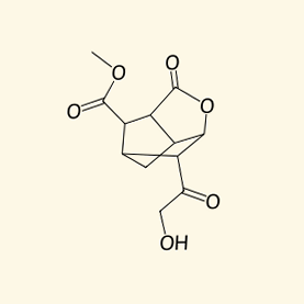 COC(=O)C1C2CC3C(OC(=O)C31)C2C(=O)CO